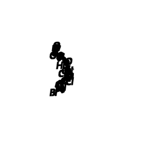 Cc1nc2c(OCc3c(Cl)ccc(N(C)C(=O)CNC(=O)C=Cc4ccc(C(=O)N5CCOCC5)cc4)c3Cl)cccn2c1Br